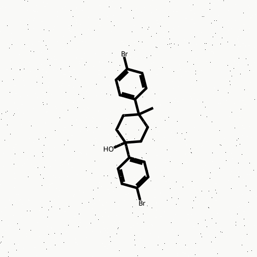 CC1(c2ccc(Br)cc2)CCC(O)(c2ccc(Br)cc2)CC1